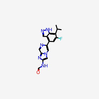 CC(C)c1c(F)cc(-c2cn3cc(NC=O)nc3cn2)c2cn[nH]c12